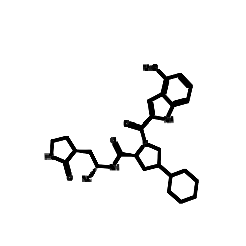 COc1cccc2[nH]c(C(=O)N3CC(C4CCCCC4)C[C@H]3C(=O)N[C@H](C#N)C[C@@H]3CCNC3=O)cc12